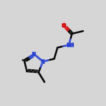 CC(=O)NCCn1n[c]cc1C